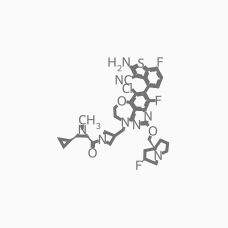 CN1[C@H](C2CC2)[C@@H]1C(=O)N1CC(CN2CCOc3c(Cl)c(-c4ccc(F)c5sc(N)c(C#N)c45)c(F)c4nc(OC[C@@]56CCCN5C[C@H](F)C6)nc2c34)C1